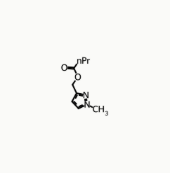 CCCC(=O)OCc1ccn(C)n1